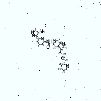 CC(C)n1cnnc1-c1cccc(NC(=O)c2cc3c(cn2)ncn3CCOCc2ccccn2)n1